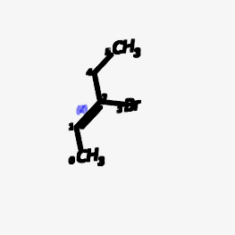 C/[C]=C(\Br)CC